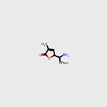 CCCCCC(N)C1C=C(C)C(=O)O1